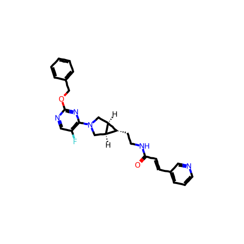 O=C(/C=C/c1cccnc1)NCC[C@@H]1[C@H]2CN(c3nc(OCc4ccccc4)ncc3F)C[C@@H]12